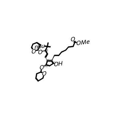 CCCCC(C)(C)[C@@H](C=C[C@@H]1[C@@H](CCCCCCC(=O)OC)[C@@H](O)C[C@H]1OC1CCCCO1)OC1CCCCO1